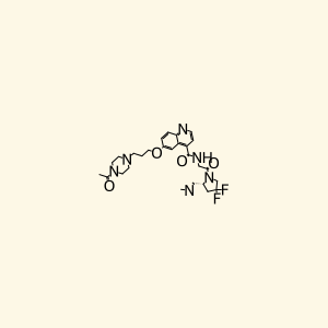 C/N=C/[C@H]1CC(F)(F)CN1C(=O)CNC(=O)c1ccnc2ccc(OCCCN3CCN(C(C)=O)CC3)cc12